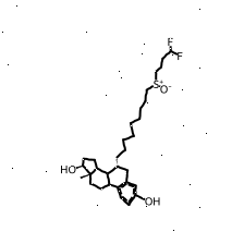 C[C@]12CCC3c4ccc(O)cc4C[C@@H](CCCCCCCCC[S+]([O-])CCCC(F)F)C3C1CC[C@@H]2O